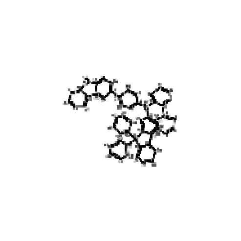 c1ccc(-c2ccccc2N(c2ccc(-c3ccc4oc5ccccc5c4c3)cc2)c2ccc3c(c2)C(c2ccccc2)(c2ccccc2)c2ccccc2-3)cc1